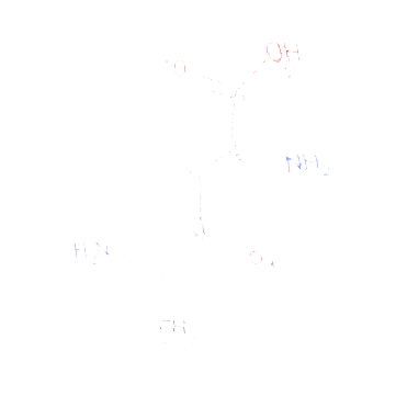 CC(N)C(=O)C[C@@H](N)C(=O)O